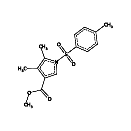 COC(=O)c1cn(S(=O)(=O)c2ccc(C)cc2)c(C)c1C